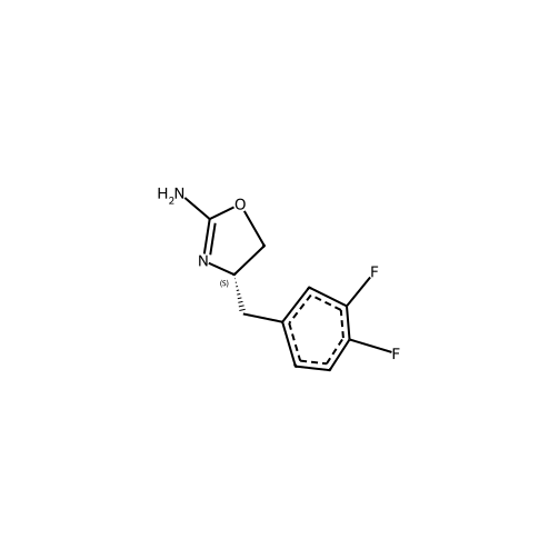 NC1=N[C@@H](Cc2ccc(F)c(F)c2)CO1